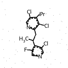 CC(C)c1c(Cl)cnc(CC(C)c2c(F)cncc2Cl)c1Cl